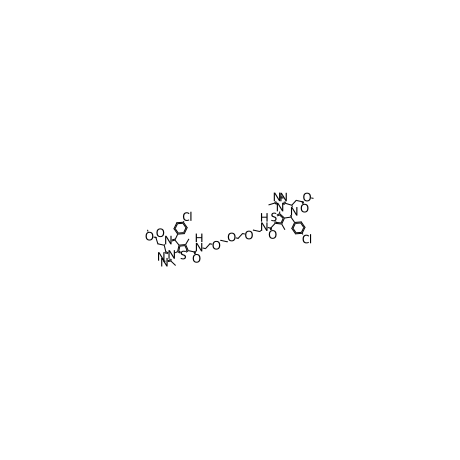 COC(=O)CC1N=C(c2ccc(Cl)cc2)c2c(sc(C(=O)NCCOCCOCCOCCNC(=O)c3sc4c(c3C)C(c3ccc(Cl)cc3)=NC(CC(=O)OC)c3nnc(C)n3-4)c2C)-n2c(C)nnc21